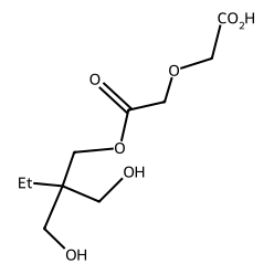 CCC(CO)(CO)COC(=O)COCC(=O)O